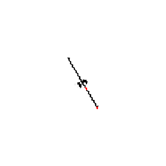 CC(C)CCCCCCCCCCCCCCCC(CCCCCCCCCCCCCCCC(C)C)N(C)C(C)C.COS(=O)(=O)O